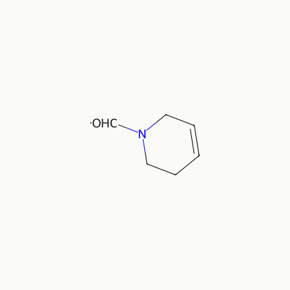 O=[C]N1CC=CCC1